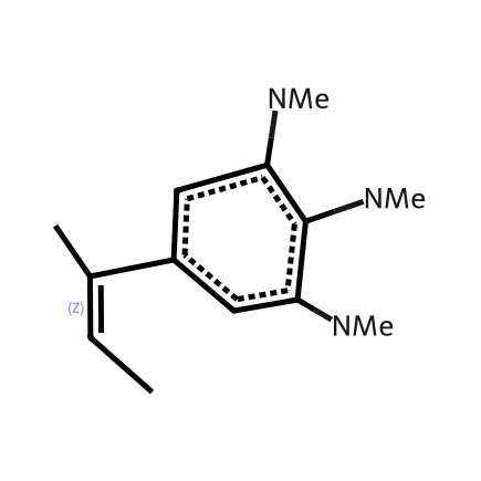 C/C=C(/C)c1cc(NC)c(NC)c(NC)c1